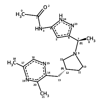 CC(=O)Nc1cc([C@@H](C)N2CC[C@H](Cc3ncc(C)nc3C)C2)n[nH]1